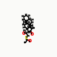 CC(=O)SCC(=O)[C@H]1C(=O)C=C2[C@@H]3CCC4CCCC[C@]4(C)[C@H]3CC[C@@]21C